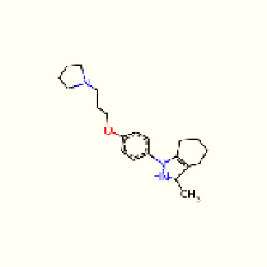 CC1NN(c2ccc(OCCCN3CCCC3)cc2)C2=C1CCCC2